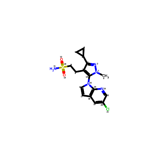 Cn1nc(C2CC2)c(CCS(N)(=O)=O)c1-n1ccc2cc(Cl)cnc21